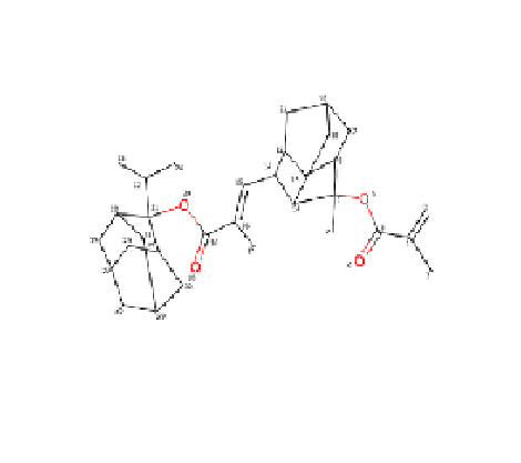 C=C(C)C(=O)OC1(C)C2CC3CC(C2)C(/C=C(\C)C(=O)OC2(C(C)C)C4CC5CC(C4)CC2C5)C1C3